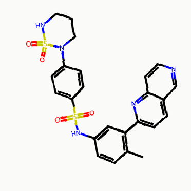 Cc1ccc(NS(=O)(=O)c2ccc(N3CCCNS3(=O)=O)cc2)cc1-c1ccc2cnccc2n1